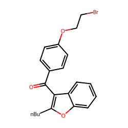 CCCCc1oc2ccccc2c1C(=O)c1ccc(OCCBr)cc1